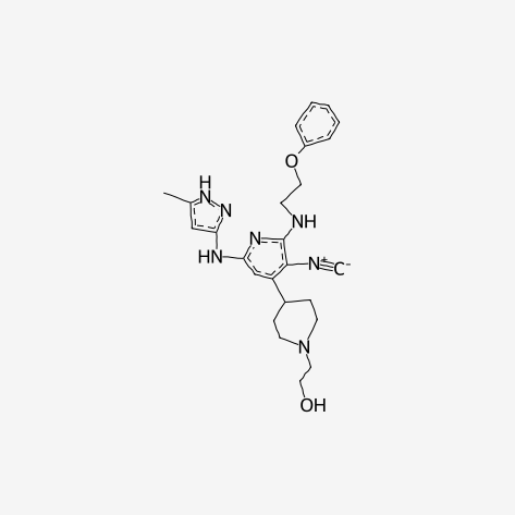 [C-]#[N+]c1c(C2CCN(CCO)CC2)cc(Nc2cc(C)[nH]n2)nc1NCCOc1ccccc1